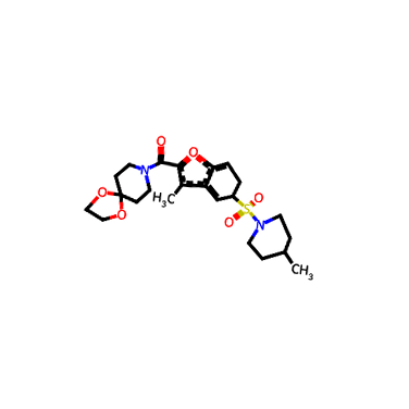 Cc1c(C(=O)N2CCC3(CC2)OCCO3)oc2c1=CC(S(=O)(=O)N1CCC(C)CC1)CC=2